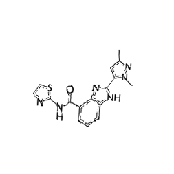 Cc1cc(-c2nc3c(C(=O)Nc4nccs4)cccc3[nH]2)n(C)n1